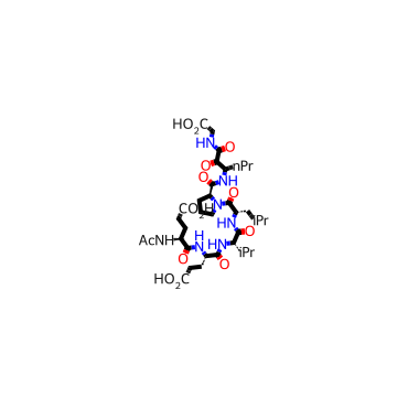 CCCC(NC(=O)[C@@H]1CCCN1C(=O)[C@H](CC(C)C)NC(=O)[C@@H](NC(=O)[C@H](CCC(=O)O)NC(=O)[C@H](CCC(=O)O)NC(C)=O)C(C)C)C(=O)C(=O)NCC(=O)O